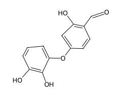 O=Cc1ccc(Oc2cccc(O)c2O)cc1O